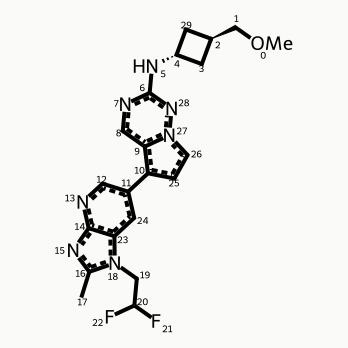 COC[C@H]1C[C@H](Nc2ncc3c(-c4cnc5nc(C)n(CC(F)F)c5c4)ccn3n2)C1